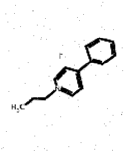 CCC[n+]1ccc(-c2ccccc2)cc1.[I-]